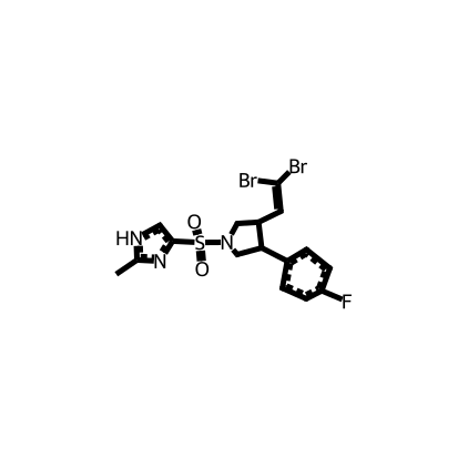 Cc1nc(S(=O)(=O)N2CC(C=C(Br)Br)C(c3ccc(F)cc3)C2)c[nH]1